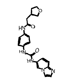 O=C(CC1CCOC1)Nc1ccc(NC(=O)Nc2ccc3nccn3c2)cc1